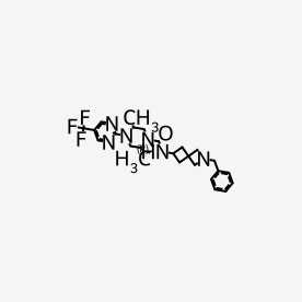 CC1CN(C(=O)NC2CC3(C2)CN(Cc2ccccc2)C3)[C@H](C)CN1c1ncc(C(F)(F)F)cn1